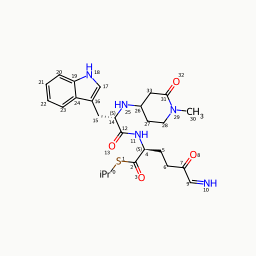 CC(C)SC(=O)[C@H](CCC(=O)C=N)NC(=O)[C@H](Cc1c[nH]c2ccccc12)NC1CCN(C)C(=O)C1